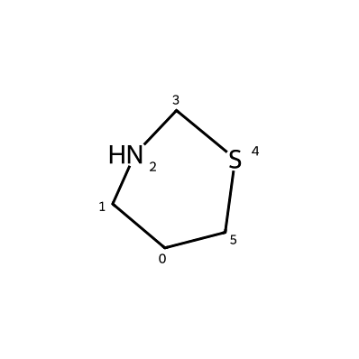 C1CNCSC1